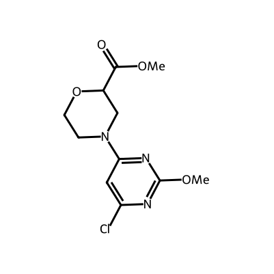 COC(=O)C1CN(c2cc(Cl)nc(OC)n2)CCO1